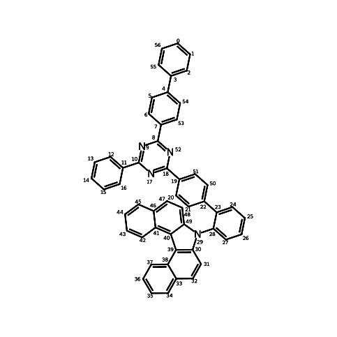 c1ccc(-c2ccc(-c3nc(-c4ccccc4)nc(-c4ccc(-c5ccccc5-n5c6ccc7ccccc7c6c6c7ccccc7ccc65)cc4)n3)cc2)cc1